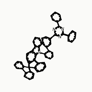 c1ccc(-c2nc(-c3ccccc3)nc(-c3cccc(-c4ccccc4-n4c5ccccc5c5ccc6c(c54)-c4ccccc4C64c5ccccc5-c5ccccc54)c3)n2)cc1